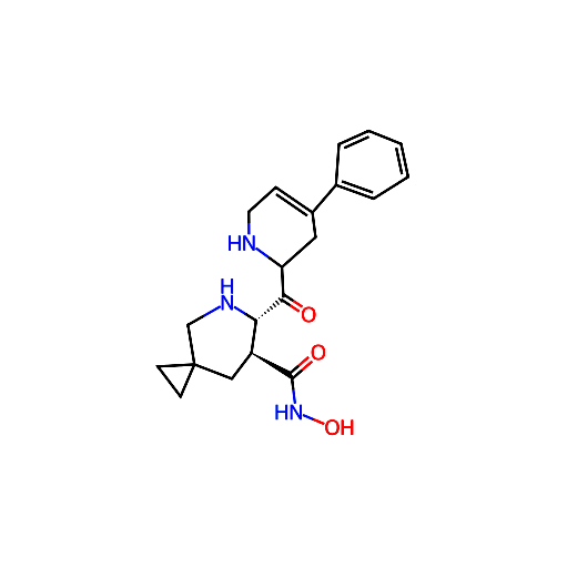 O=C(NO)[C@H]1CC2(CC2)CN[C@@H]1C(=O)C1CC(c2ccccc2)=CCN1